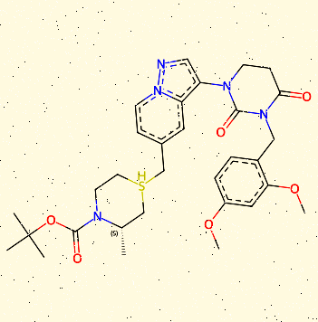 COc1ccc(CN2C(=O)CCN(c3cnn4ccc(C[SH]5CCN(C(=O)OC(C)(C)C)[C@@H](C)C5)cc34)C2=O)c(OC)c1